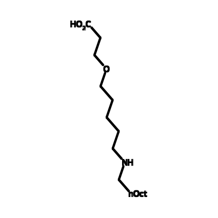 CCCCCCCCCNCCCCCOCCC(=O)O